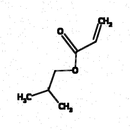 C=CC(=O)OC[C](C)C